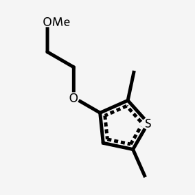 COCCOc1cc(C)sc1C